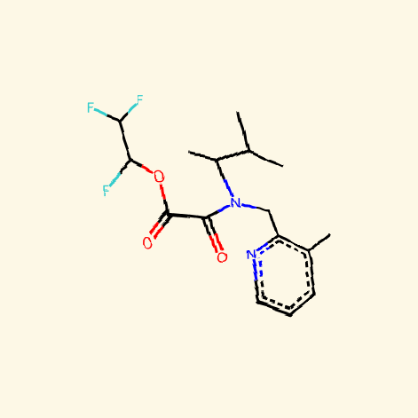 Cc1cccnc1CN(C(=O)C(=O)OC(F)C(F)F)C(C)C(C)C